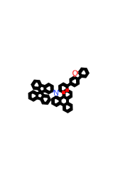 c1ccc2c(c1)-c1ccccc1C21c2ccccc2-c2ccc(N(c3ccc(-c4ccc5c(c4)oc4ccccc45)cc3)c3cccc4c5ccccc5c5ccccc5c34)cc21